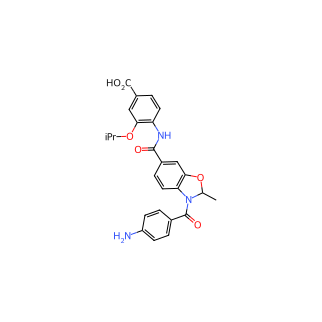 CC(C)Oc1cc(C(=O)O)ccc1NC(=O)c1ccc2c(c1)OC(C)N2C(=O)c1ccc(N)cc1